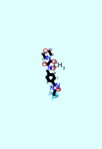 CON(Cc1ccc(-c2noc(C(F)(F)F)n2)cc1)C(=O)C(=O)N1CCOCC1